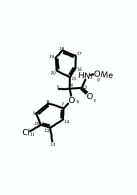 CONC(=O)C(C)(Oc1ccc(Cl)c(C)c1)c1ccccc1